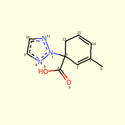 CC1=CC(C(=O)O)(n2nccn2)CC=C1